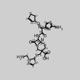 NCN1N=CSC1SCC1(C(=O)O)CS[C@@H]2C(NC(=O)C(=NOC3C=CCC3)c3csc(N)n3)C(=O)N2C1